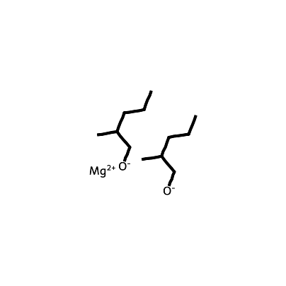 CCCC(C)C[O-].CCCC(C)C[O-].[Mg+2]